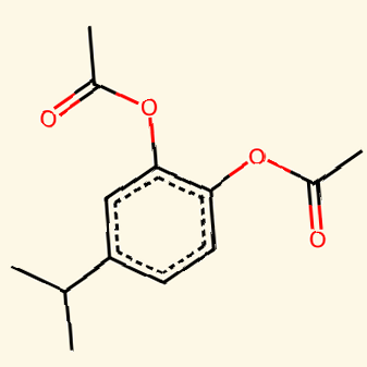 CC(=O)Oc1ccc(C(C)C)cc1OC(C)=O